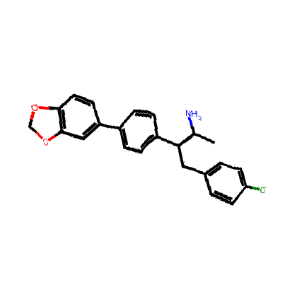 CC(N)C(Cc1ccc(Cl)cc1)c1ccc(-c2ccc3c(c2)OCO3)cc1